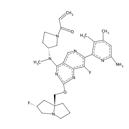 C=CC(=O)N1CC[C@@H](N(C)c2nc(OC[C@@]34CCCN3C[C@H](F)C4)nc3c(F)c(-c4nc(N)cc(C)c4C)ncc23)C1